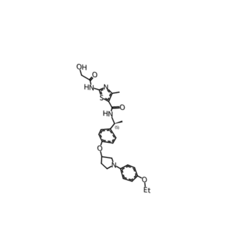 CCOc1ccc(N2CCC(Oc3ccc([C@H](C)NC(=O)c4sc(NC(=O)CO)nc4C)cc3)C2)cc1